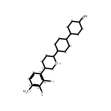 CCCC1CCC(C2CCC(C3CCC(c4ccc(C)c(F)c4F)CO3)CC2)CC1